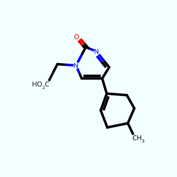 CC1CC=C(c2cnc(=O)n(CC(=O)O)c2)CC1